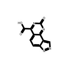 O=C1N=C(C(=O)O)c2ccc3c(c2=N1)=CN=N3